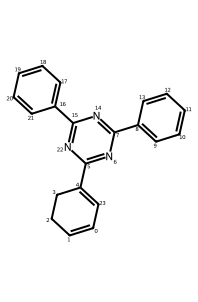 C1=CCCC(c2nc(-c3ccccc3)nc(-c3ccccc3)n2)=C1